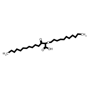 [CH2]CCCCCCCCCCC(=O)C(CCCCCCCCCCCC)C(=O)O